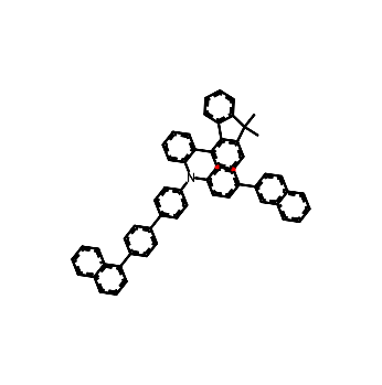 CC1(C)c2ccccc2-c2c(-c3ccccc3N(c3ccc(-c4ccc(-c5cccc6ccccc56)cc4)cc3)c3ccc(-c4ccc5ccccc5c4)cc3)cccc21